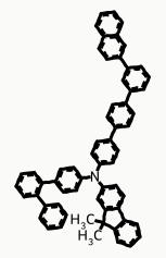 CC1(C)c2ccccc2-c2ccc(N(c3ccc(-c4ccc(-c5cccc(-c6ccc7ccccc7c6)c5)cc4)cc3)c3ccc(-c4ccccc4-c4ccccc4)cc3)cc21